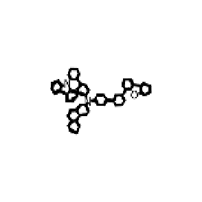 c1cc(-c2ccc(N(c3ccc(-c4ccccc4-n4c5ccccc5c5ccccc54)cc3)c3ccc4c(ccc5ccccc54)c3)cc2)cc(-c2cccc3c2oc2ccccc23)c1